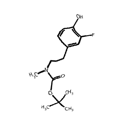 CN(CCc1ccc(O)c(F)c1)C(=O)OC(C)(C)C